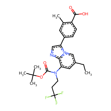 CCc1cc(N(CCC(F)(F)F)C(=O)OC(C)(C)C)c2ncc(-c3ccc(C(=O)O)c(C)c3)n2c1